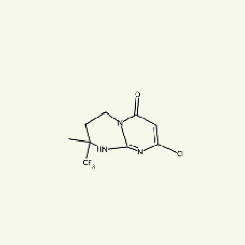 CC1(C(F)(F)F)CCn2c(nc(Cl)cc2=O)N1